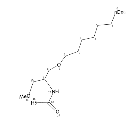 CCCCCCCCCCCCCCCCOCC(COC)NC(=O)S